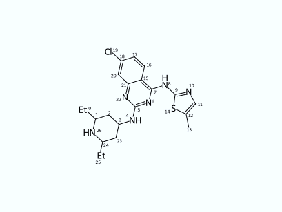 CCC1CC(Nc2nc(Nc3ncc(C)s3)c3ccc(Cl)cc3n2)CC(CC)N1